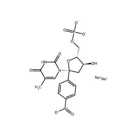 Cc1cn([C@@]2(c3ccc([N+](=O)[O-])cc3)C[C@H](O)[C@@H](COP(=O)([O-])[O-])O2)c(=O)[nH]c1=O.[Na+].[Na+]